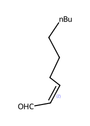 CCCCCCC/C=C\C=O